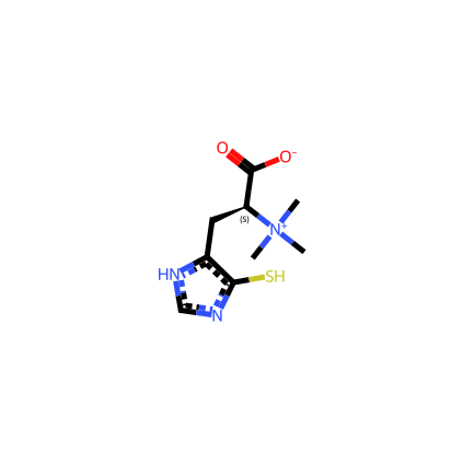 C[N+](C)(C)[C@@H](Cc1[nH]cnc1S)C(=O)[O-]